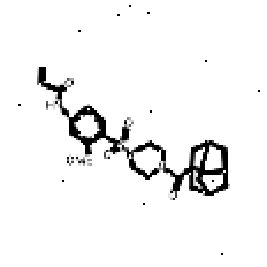 C=CC(=O)Nc1ccc(S(=O)(=O)N2CCN(C(=O)C34CC5CC(CC(C5)C3)C4)CC2)c(OC)c1